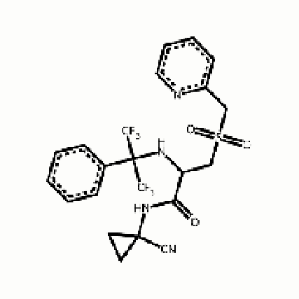 N#CC1(NC(=O)C(CS(=O)(=O)Cc2ccccn2)NC(c2ccccc2)(C(F)(F)F)C(F)(F)F)CC1